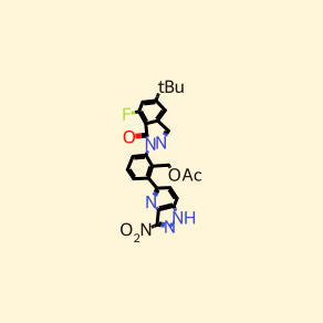 CC(=O)OCc1c(-c2ccc3[nH]nc([N+](=O)[O-])c3n2)cccc1-n1ncc2cc(C(C)(C)C)cc(F)c2c1=O